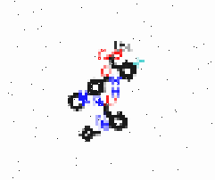 CC(C)(C)OC(=O)Cc1cc(F)ccc1NC(=O)c1ccc(N2CCCCC2)c(NC(=O)c2nn(CC3CCC3)c3ccccc23)c1